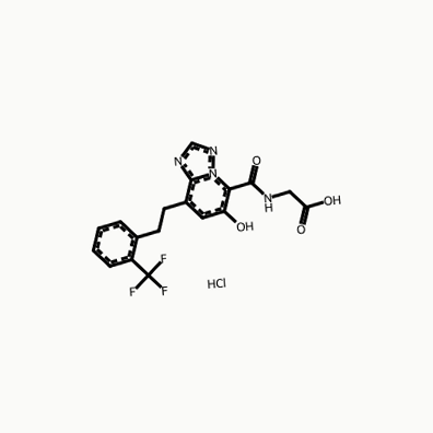 Cl.O=C(O)CNC(=O)c1c(O)cc(CCc2ccccc2C(F)(F)F)c2ncnn12